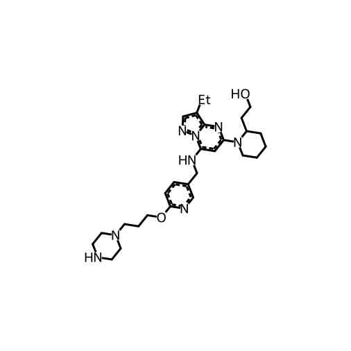 CCc1cnn2c(NCc3ccc(OCCCN4CCNCC4)nc3)cc(N3CCCCC3CCO)nc12